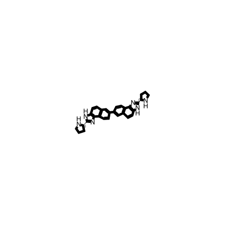 c1cc2c(ccc3[nH]c([C@@H]4CCCN4)nc32)cc1-c1ccc2c(ccc3[nH]c([C@@H]4CCCN4)nc32)c1